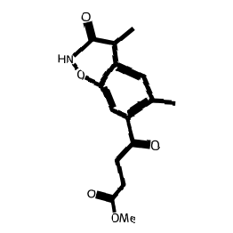 COC(=O)CCC(=O)c1cc2c(cc1C)C(C)C(=O)NO2